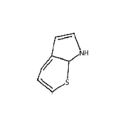 [C]1=CC=C2C=CNC2S1